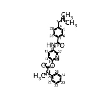 CN(C)Cc1ccc(C(=O)Nc2ccc(OC(=O)N(C)c3ccccc3)nc2)cc1